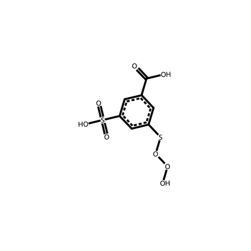 O=C(O)c1cc(SOOO)cc(S(=O)(=O)O)c1